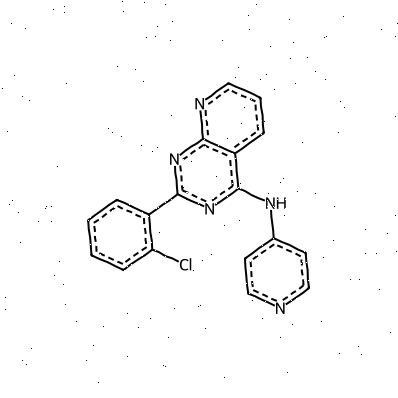 Clc1ccccc1-c1nc(Nc2ccncc2)c2cccnc2n1